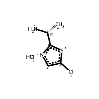 C[C@@H](N)c1ncc(Cl)s1.Cl